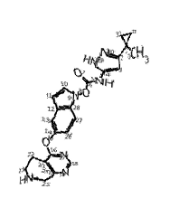 CC1(c2cc(NC(=O)On3ccc4cc(Oc5ncnc6c5CCNC6)ccc43)[nH]n2)CC1